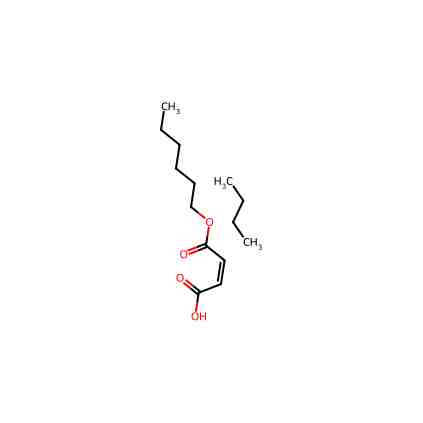 CCCC.CCCCCCOC(=O)/C=C\C(=O)O